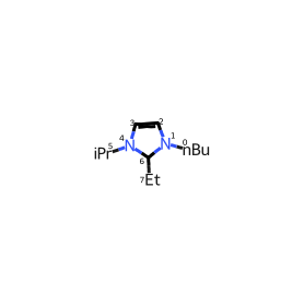 CCCCN1C=CN(C(C)C)C1CC